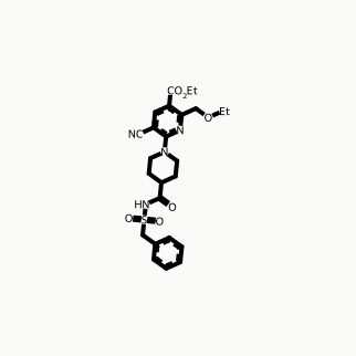 CCOCc1nc(N2CCC(C(=O)NS(=O)(=O)Cc3ccccc3)CC2)c(C#N)cc1C(=O)OCC